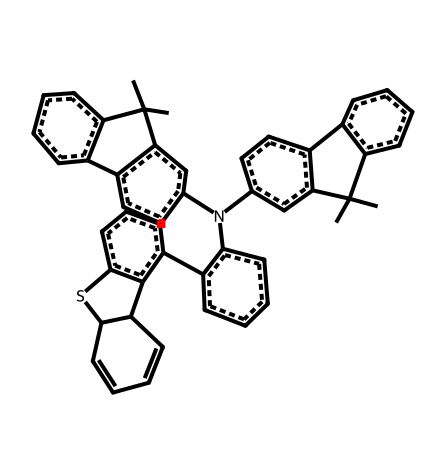 CC1(C)c2ccccc2-c2ccc(N(c3ccc4c(c3)C(C)(C)c3ccccc3-4)c3ccccc3-c3cccc4c3C3C=CC=CC3S4)cc21